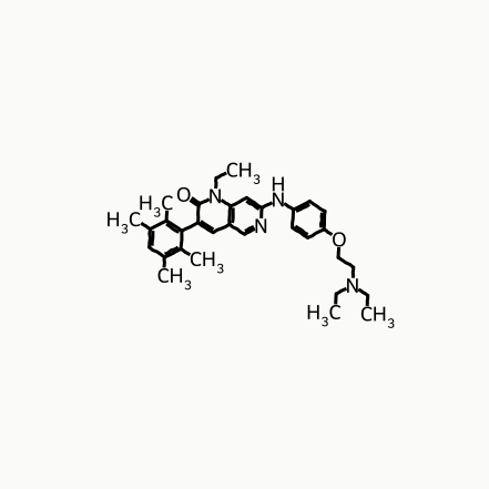 CCN(CC)CCOc1ccc(Nc2cc3c(cn2)cc(-c2c(C)c(C)cc(C)c2C)c(=O)n3CC)cc1